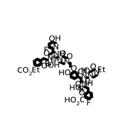 CCOC(=O)c1cccc2c1OB(O)[C@@H](NC(=O)C(NC(=O)N1CCN(CCOc3c(O)ccc(C(NC(=O)N4CCN(CC)C(=O)C4=O)C(=O)N[C@H]4Cc5ccc(F)c(C(=O)O)c5OB4O)c3Cl)C(=O)C1=O)c1ncc(O)cc1F)C2